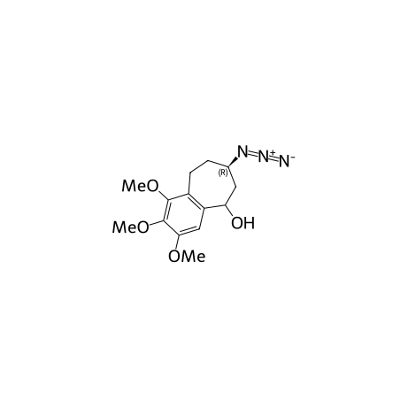 COc1cc2c(c(OC)c1OC)CC[C@@H](N=[N+]=[N-])CC2O